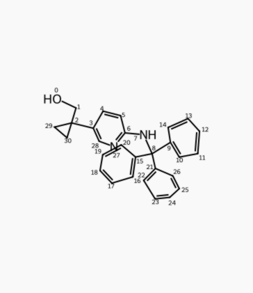 OCC1(c2ccc(NC(c3ccccc3)(c3ccccc3)c3ccccc3)nc2)CC1